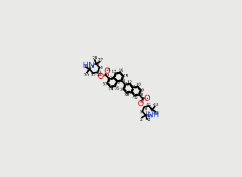 CC1(C)CC(OC(=O)c2ccc3cc(-c4cccc5c(C(=O)OC6CC(C)(C)NC(C)(C)C6)cccc45)ccc3c2)CC(C)(C)N1